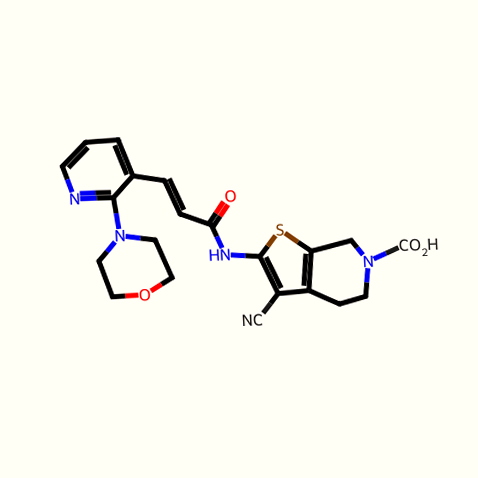 N#Cc1c(NC(=O)C=Cc2cccnc2N2CCOCC2)sc2c1CCN(C(=O)O)C2